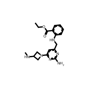 CCOC(=O)c1ccccc1NCc1cc(N2CC(NC)C2)nc(N)n1